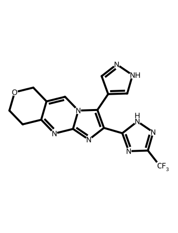 FC(F)(F)c1n[nH]c(-c2nc3nc4c(cn3c2-c2cn[nH]c2)COCC4)n1